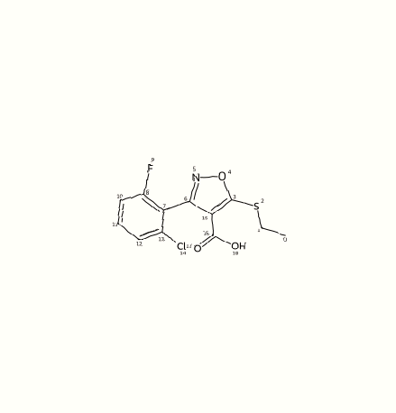 CCSc1onc(-c2c(F)cccc2Cl)c1C(=O)O